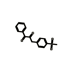 CS(=O)(=O)c1ccc(CC(=O)C(=O)c2ccccc2)cc1